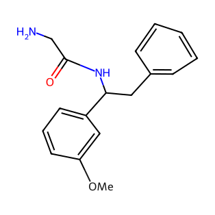 COc1cccc(C(Cc2ccccc2)NC(=O)CN)c1